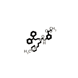 COC(=O)c1cccc(NC(=O)N(CCCN2CCN(C)CC2)CCC(c2ccccc2)c2ccccc2)c1